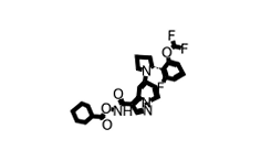 O=C(NOC(=O)C1CCCCC1)c1cnn2ccc(N3CCC[C@@H]3c3c(F)cccc3OC(F)F)cc12